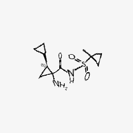 CC1(S(=O)(=O)NC(=O)C2(N)C[C@H]2C2CC2)CC1